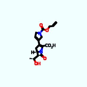 C=CCOC(=O)N1CC=C(C2=C(C(=O)O)N3C(=O)[C@H]([C@@H](C)O)[C@H]3C2)C1